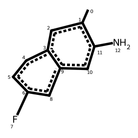 Cc1cc2ccc(F)cc2cc1N